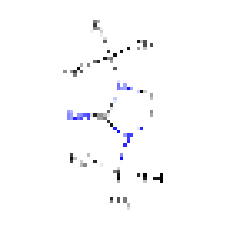 CC(C)(C)N1CCN(C(C)(C)C)C1=N